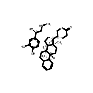 CNC[C@H](O)c1ccc(O)c(O)c1.C[C@]12CC[C@H]3[C@@H](CCC4C=CC=C[C@@]43C)[C@H]1CC[C@@H]2[C@H]1CCC(=O)OC1